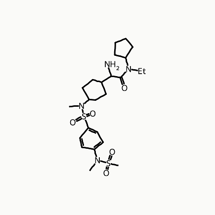 CCN(C(=O)C(N)C1CCC(N(C)S(=O)(=O)c2ccc(N(C)S(C)(=O)=O)cc2)CC1)C1CCCC1